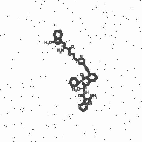 C[C@H](NC(=O)c1c(N)nn2cccnc12)c1cc2cccc(C#Cc3cn(CCOC(=O)[C@H](N)Cc4cn(C)c5ccccc45)nn3)c2c(=O)n1-c1ccccc1